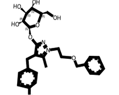 CCc1ccc(Cc2c(O[C@@H]3O[C@H](CO)[C@@H](O)[C@H](O)[C@H]3O)nn(CCOCc3ccccc3)c2C)cc1